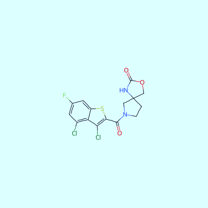 O=C1NC2(CCN(C(=O)c3sc4cc(F)cc(Cl)c4c3Cl)C2)CO1